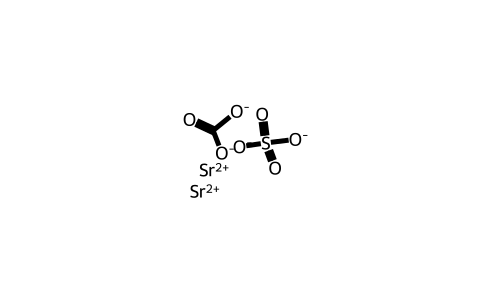 O=C([O-])[O-].O=S(=O)([O-])[O-].[Sr+2].[Sr+2]